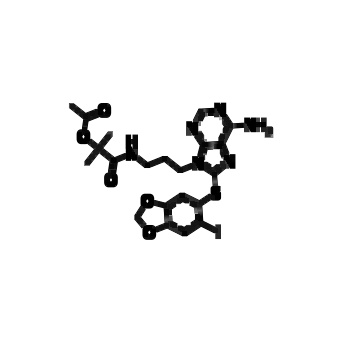 CC(=O)OC(C)(C)C(=O)NCCCn1c(Sc2cc3c(cc2I)OCO3)nc2c(N)ncnc21